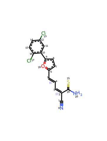 N#C/C(=C/C=C/c1ccc(-c2cc(Cl)ccc2Cl)o1)C(N)=S